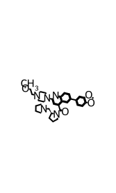 COCCN1CCN(c2cc(C(=O)N3CCC[C@H]3CN3CCCC3)c3cc(-c4ccc5c(c4)OCO5)ccc3n2)CC1